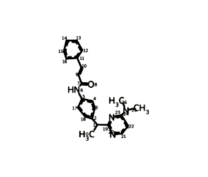 CC(c1ccc(NC(=O)/C=C/c2ccccc2)cc1)c1nc[c]c(N(C)C)n1